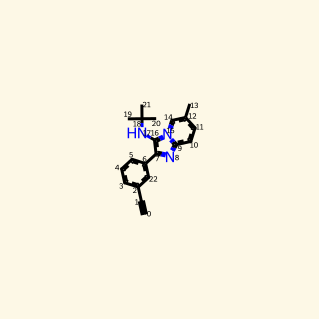 C#Cc1cccc(-c2nc3ccc(C)cn3c2NC(C)(C)C)c1